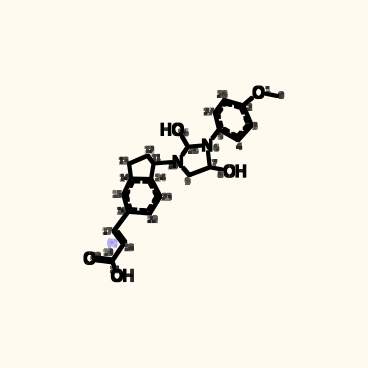 COc1ccc(N2C(O)CN(C3CCc4cc(/C=C/C(=O)O)ccc43)C2O)cc1